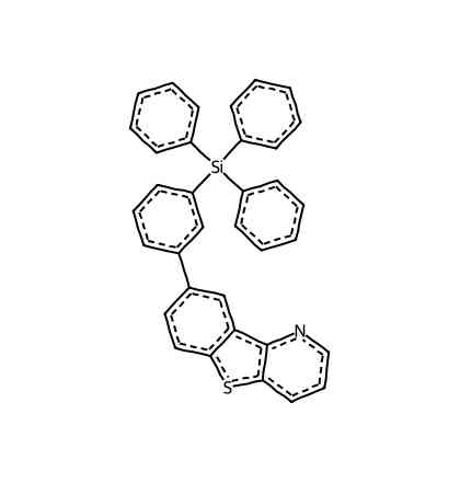 c1ccc([Si](c2ccccc2)(c2ccccc2)c2cccc(-c3ccc4sc5cccnc5c4c3)c2)cc1